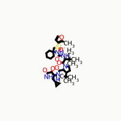 Cc1occc1[S+]([O-])CC1(NC(=O)N[C@H](C(=O)N2CCC(C(C)(C)C)C2C(=O)NC(CC2CC2)C(=O)C(N)=O)C(C)(C)C)CCCCC1